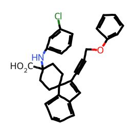 O=C(O)C1(Nc2cccc(Cl)c2)CCC2(CC1)C(C#CCOc1ccccc1)=Cc1ccccc12